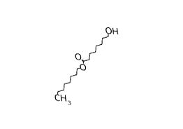 CCCCCCCCOC(=O)CCCCCCCO